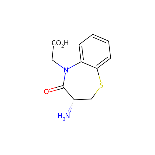 N[C@H]1CSc2ccccc2N(CC(=O)O)C1=O